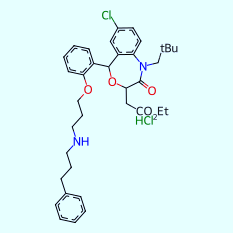 CCOC(=O)CC1OC(c2ccccc2OCCCNCCCc2ccccc2)c2cc(Cl)ccc2N(CC(C)(C)C)C1=O.Cl